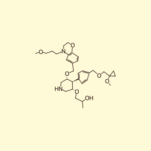 COCCCN1CCOc2ccc(CO[C@H]3CNC[C@@H](OCC(C)O)[C@@H]3c3ccc(COCC4(OC)CC4)cc3)cc21